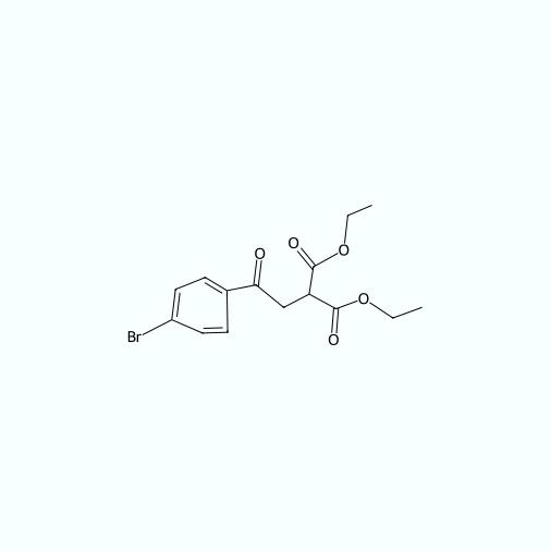 CCOC(=O)C(CC(=O)c1ccc(Br)cc1)C(=O)OCC